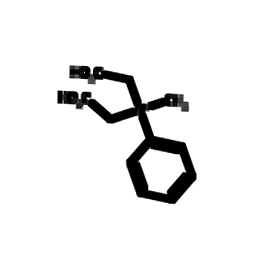 C[N+](CC(=O)O)(CC(=O)O)c1ccccc1